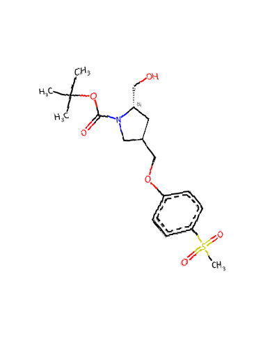 CC(C)(C)OC(=O)N1CC(COc2ccc(S(C)(=O)=O)cc2)C[C@H]1CO